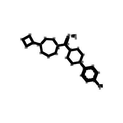 Cl.N#Cc1ccc(N2CCC(C(=O)N3CCCN(C4CCC4)CC3)CC2)cc1